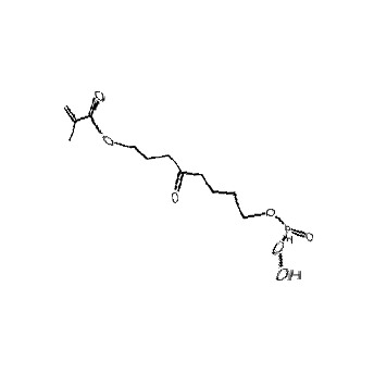 C=C(C)C(=O)OCCCC(=O)CCCCO[PH](=O)OO